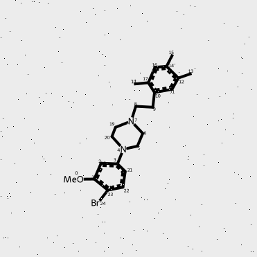 COc1cc(N2CCN(CCc3cc(C)c(C)cc3C)CC2)ccc1Br